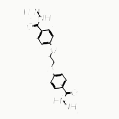 NNC(=O)c1ccc(OCCOc2ccc(C(=O)NN)cc2)cc1